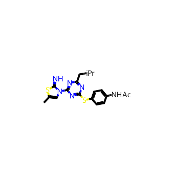 CC(=O)Nc1ccc(Sc2nc(CC(C)C)nc(-n3cc(C)sc3=N)n2)cc1